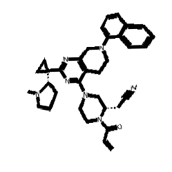 C=CC(=O)N1CCN(c2nc(C3([C@@H]4CCCN4C)CC3)nc3c2CCN(c2cccc4ccccc24)C3)C[C@@H]1CC#N